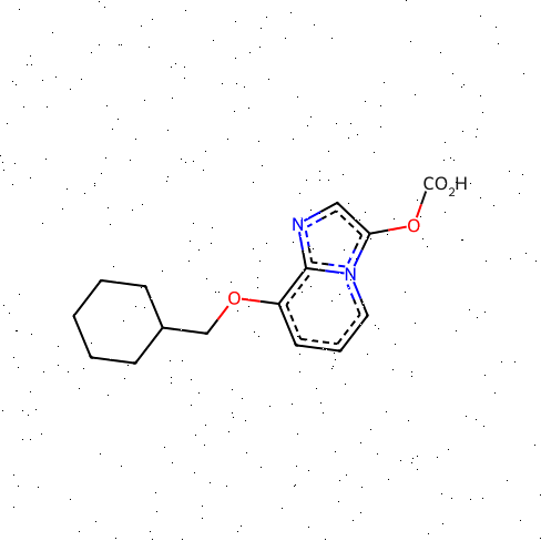 O=C(O)Oc1cnc2c(OCC3CCCCC3)cccn12